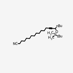 CCCCC(C#CCCCCCCCCCCCCC#N)O[Si](C)(C)C(C)(C)C